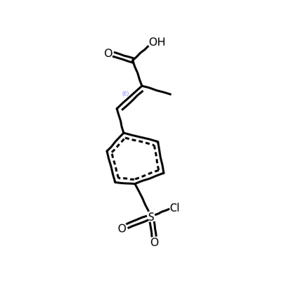 C/C(=C\c1ccc(S(=O)(=O)Cl)cc1)C(=O)O